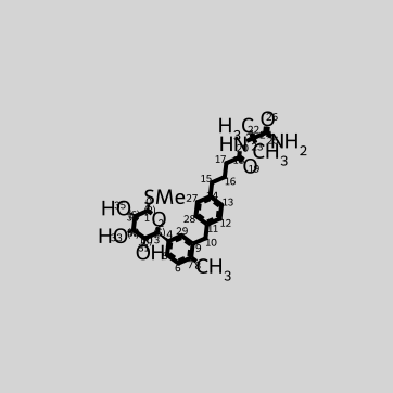 CS[C@H]1O[C@@H](c2ccc(C)c(Cc3ccc(CCCC(=O)NC(C)(C)C(N)=O)cc3)c2)[C@H](O)[C@@H](O)[C@@H]1O